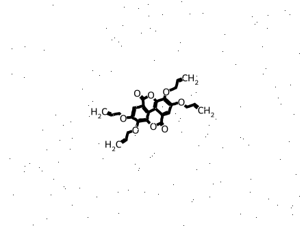 C=CCOc1cc2c(=O)oc3c(OCC=C)c(OCC=C)cc4c(=O)oc(c1OCC=C)c2c34